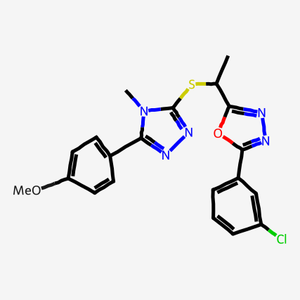 COc1ccc(-c2nnc(SC(C)c3nnc(-c4cccc(Cl)c4)o3)n2C)cc1